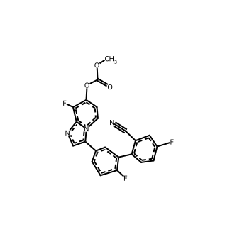 COC(=O)Oc1ccn2c(-c3ccc(F)c(-c4ccc(F)cc4C#N)c3)cnc2c1F